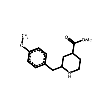 COC(=O)C1CCNC(Cc2ccc(OC(F)(F)F)cc2)C1